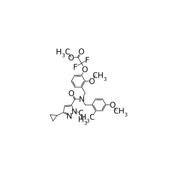 COC(=O)C(F)(F)Oc1cccc(CN(Cc2ccc(OC)cc2C)C(=O)c2cc(C3CC3)nn2C)c1OC